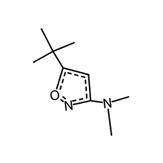 CN(C)c1cc(C(C)(C)C)on1